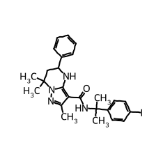 Cc1nn2c(c1C(=O)NC(C)(C)c1ccc(I)cc1)NC(c1ccccc1)CC2(C)C